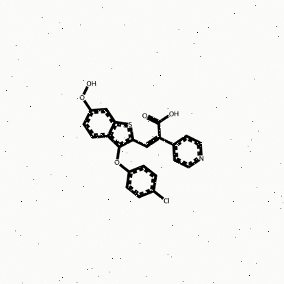 O=C(O)C(=Cc1sc2cc(OO)ccc2c1Oc1ccc(Cl)cc1)c1ccncc1